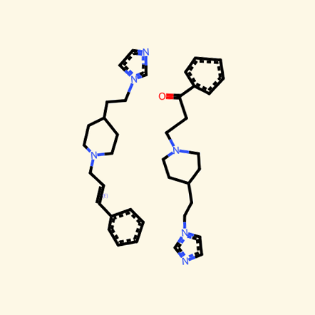 C(=C\c1ccccc1)/CN1CCC(CCn2ccnc2)CC1.O=C(CCN1CCC(CCn2ccnc2)CC1)c1ccccc1